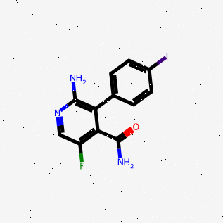 NC(=O)c1c(F)cnc(N)c1-c1ccc(I)cc1